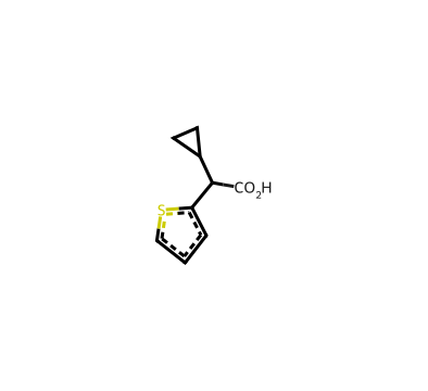 O=C(O)C(c1cccs1)C1CC1